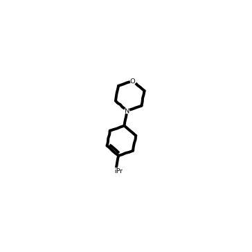 CC(C)C1=CCC(N2CCOCC2)CC1